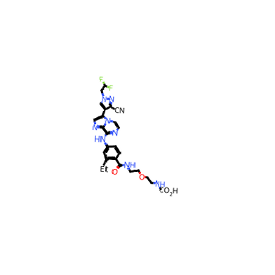 CCc1cc(Nc2nccn3c(-c4cn(CC(F)F)nc4C#N)cnc23)ccc1C(=O)NCCOCCNC(=O)O